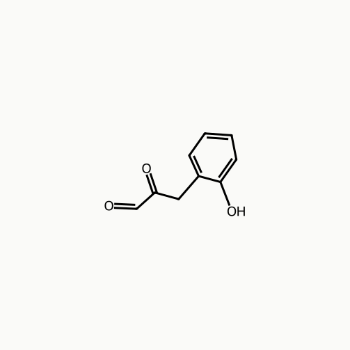 O=CC(=O)Cc1ccccc1O